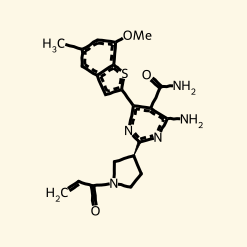 C=CC(=O)N1CC[C@H](c2nc(N)c(C(N)=O)c(-c3cc4cc(C)cc(OC)c4s3)n2)C1